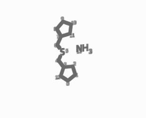 C1CCC(CSCC2CCCC2)C1.N